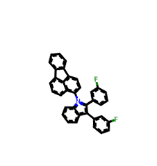 Fc1cccc(-c2c(-c3cccc(F)c3)n(-c3ccc4c5c(cccc35)-c3ccccc3-4)c3ccccc23)c1